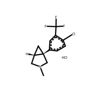 CN1C[C@@H]2C[C@]2(c2ccc(Cl)c(C(F)(F)F)c2)C1.Cl